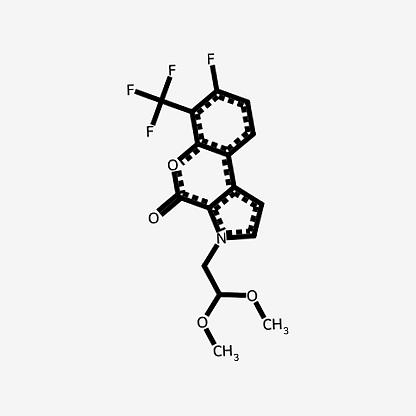 COC(Cn1ccc2c3ccc(F)c(C(F)(F)F)c3oc(=O)c21)OC